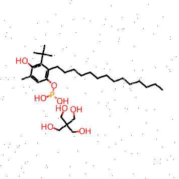 CCCCCCCCCCCCCCc1c(OP(O)O)cc(C)c(O)c1C(C)(C)C.OCC(CO)(CO)CO